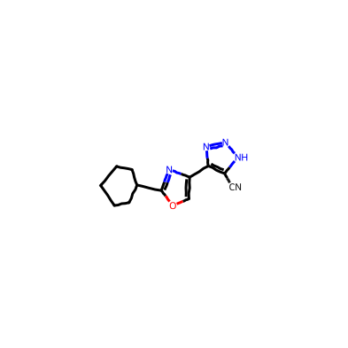 N#Cc1[nH]nnc1-c1coc(C2CCCCC2)n1